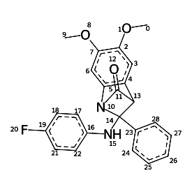 COc1cc2c(cc1OC)N1C(=O)C2C1(Nc1ccc(F)cc1)c1ccccc1